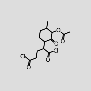 CC(=O)OC1C(=O)C(C(CCC(=O)Cl)C(=O)Cl)CCC1C